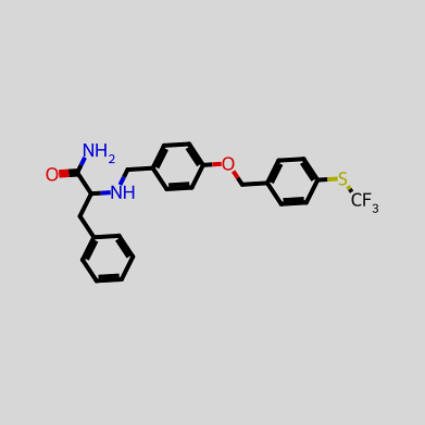 NC(=O)C(Cc1ccccc1)NCc1ccc(OCc2ccc(SC(F)(F)F)cc2)cc1